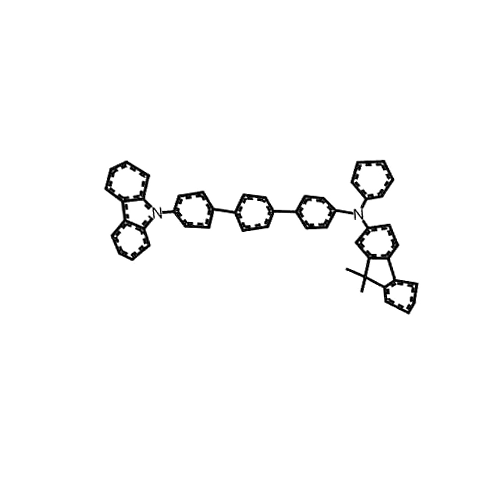 CC1(C)c2ccccc2-c2ccc(N(c3ccccc3)c3ccc(-c4ccc(-c5ccc(-n6c7ccccc7c7ccccc76)cc5)cc4)cc3)cc21